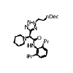 CCCCCCCCCCCCn1nnc(C(C(=O)Nc2c(C(C)C)cccc2C(C)C)N2CCCCC2)n1